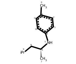 Cc1ccc(N[C@H](C)CC(C)C)cc1